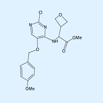 COC(=O)C(Nc1nc(Cl)ncc1OCc1ccc(OC)cc1)C1COC1